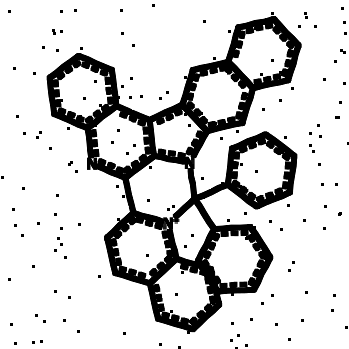 c1ccc(C2(c3ccccc3)n3c4cc5ccccc5cc4c4c5ccccc5nc(c43)-c3ccc4ccccc4[n+]32)cc1